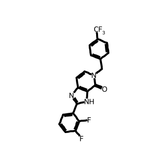 O=c1c2[nH]c(-c3cccc(F)c3F)nc2ccn1Cc1ccc(C(F)(F)F)cc1